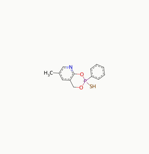 Cc1cnc2c(c1)CO[P](S)(c1ccccc1)O2